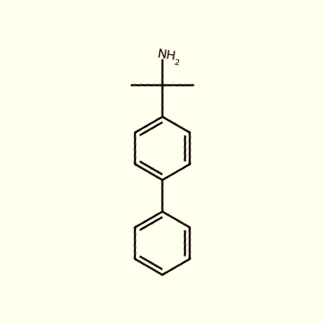 CC(C)(N)c1ccc(-c2ccccc2)cc1